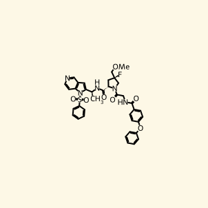 COC[C@@]1(F)C[C@@H](C(=O)N[C@@H](C)c2cc3cnccc3n2S(=O)(=O)c2ccccc2)N(C(=O)CNC(=O)c2ccc(Oc3ccccc3)cc2)C1